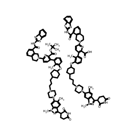 Cc1cc2c(C3CCC(=O)NC3=O)nn(C)c2cc1N1CCN(CCCC2CCC(Oc3cccc(-c4ccc(N5CCc6cccc(C(=O)Nc7nc8ccccc8s7)c6C5)nc4C(=O)O)c3C)CC2)CC1.Cc1cc2c(C3CCC(=O)NC3=O)nn(C)c2cc1N1CCN(CCCC2CCC(Oc3cccc(-c4ccc(N5CCc6cccc(C(=O)Nc7nc8ccccc8s7)c6C5)nc4C(=O)OC(C)(C)C)c3C)CC2)CC1